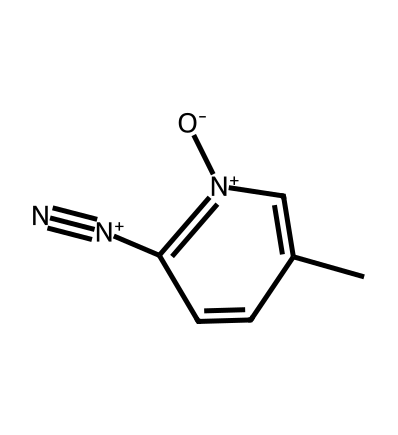 Cc1ccc([N+]#N)[n+]([O-])c1